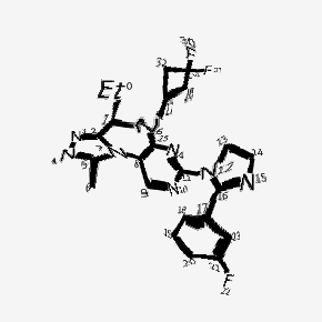 CC[C@@H]1c2nnc(C)n2-c2cnc(-n3ccnc3-c3cccc(F)c3)nc2N1C1CC(F)(F)C1